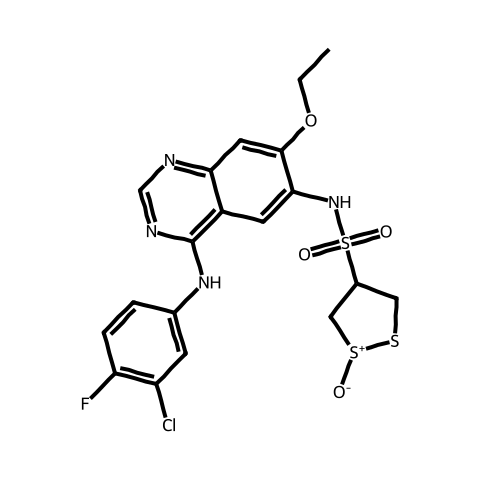 CCOc1cc2ncnc(Nc3ccc(F)c(Cl)c3)c2cc1NS(=O)(=O)C1CS[S+]([O-])C1